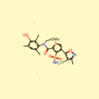 COCN(C(=O)c1scc(-c2onc(C)c2Cl)c1S(N)(=O)=O)c1c(C)cc(C)c(O)c1C